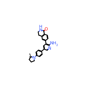 C[C@@H]1CCCN1c1ccc(-c2cnc(N)c(-c3ccc4c(c3)CCNC4=O)c2)cc1